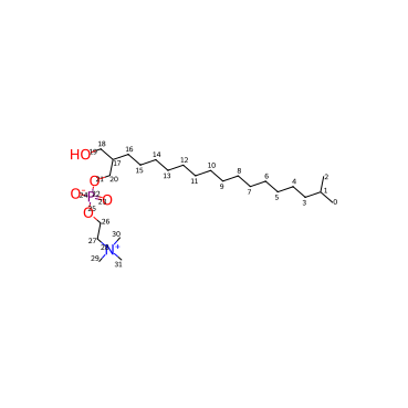 CC(C)CCCCCCCCCCCCCCC(CO)COP(=O)([O-])OCC[N+](C)(C)C